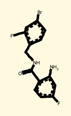 Nc1cc(F)ccc1C(=O)NCc1ccc(Br)cc1F